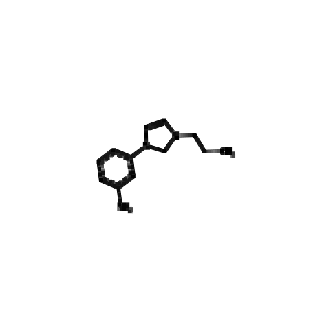 CCCN1C=CN(c2cccc(N)c2)C1